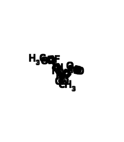 COc1ccc(F)c(-c2cnc(-n3nc(S(C)(=O)=O)c4ccc(C(=O)N5CCOCC5)cc43)nc2)c1